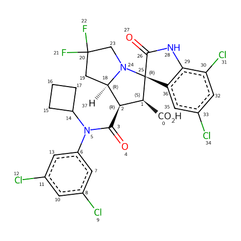 O=C(O)[C@H]1[C@@H](C(=O)N(c2cc(Cl)cc(Cl)c2)C2CCC2)[C@H]2CC(F)(F)CN2[C@]12C(=O)Nc1c(Cl)cc(Cl)cc12